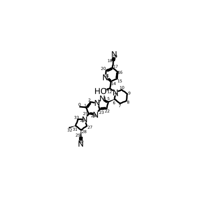 Cc1cn2nc([C@@H]3CCCCN3C(O)c3ccc(C#N)cn3)cc2nc1N1C[C@@H](C#N)[C@@H](C)C1